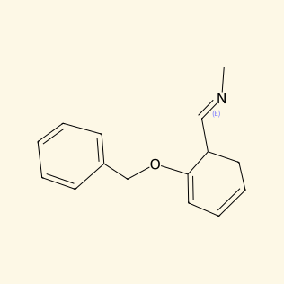 C/N=C/C1CC=CC=C1OCc1ccccc1